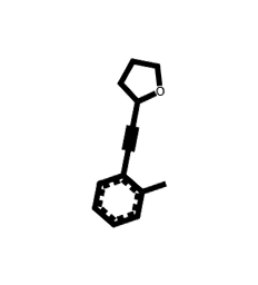 Cc1ccccc1C#CC1CCCO1